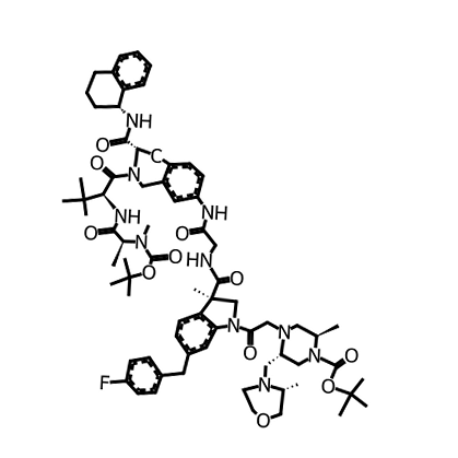 C[C@@H]1COCCN1C[C@H]1CN(C(=O)OC(C)(C)C)[C@H](C)CN1CC(=O)N1C[C@](C)(C(=O)NCC(=O)Nc2ccc3c(c2)CN(C(=O)[C@@H](NC(=O)[C@H](C)N(C)C(=O)OC(C)(C)C)C(C)(C)C)[C@H](C(=O)N[C@@H]2CCCc4ccccc42)C3)c2ccc(Cc3ccc(F)cc3)cc21